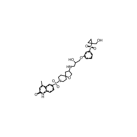 Cc1cc(=O)[nH]c2ccc(S(=O)(=O)N3CCC4(CC3)CC(NCC(O)COc3cccc(S(=O)(=O)C5(CO)CC5)c3)CO4)cc12